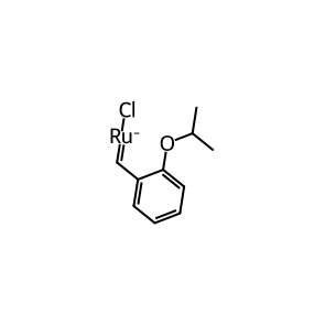 CC(C)Oc1ccccc1[CH]=[Ru-][Cl]